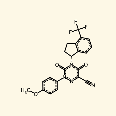 COc1ccc(-n2nc(C#N)c(=O)n([C@@H]3CCc4c3cccc4C(F)(F)F)c2=O)cc1